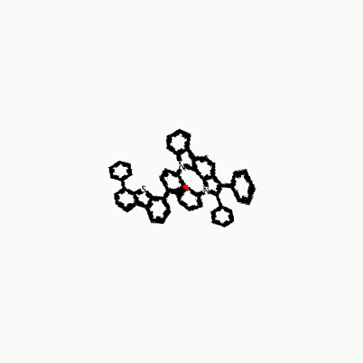 c1ccc(-c2c(-c3ccccc3)n(-c3ccccc3)c3c2ccc2c4ccccc4n(-c4ccc(-c5cccc6c5sc5c(-c7ccccc7)cccc56)cc4)c23)cc1